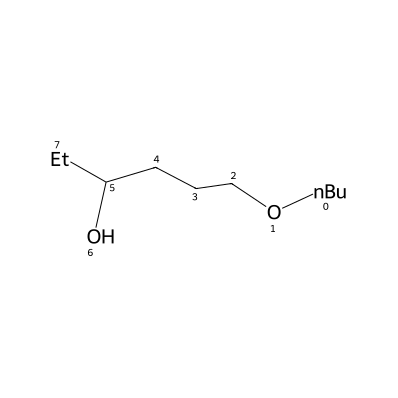 CCCCOCCCC(O)CC